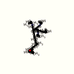 C=c1ccc2c(c1)Oc1cc(O)ccc1C=2c1ccc(C(=O)NCCCCC(NC(=O)COCC(=O)NCCOCCOCCNC(=O)C(CCCCNC(=O)/C=C/c2ccc(O)c(OC)c2)NC(=O)C(CCCCCC(=O)/C=C/c2ccc(O)c(OC)c2)NC(=O)C(CCCCNC(=O)CCc2ccc(O)c(OC)c2)NC(=O)/C=C/c2ccc(O)c(OC)c2)C(N)=O)cc1C(=O)O